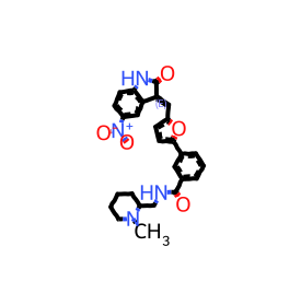 CN1CCCCC1CNC(=O)c1cccc(-c2ccc(/C=C3/C(=O)Nc4ccc([N+](=O)[O-])cc43)o2)c1